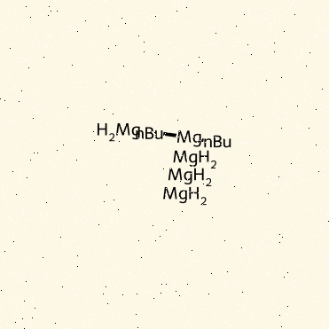 CCC[CH2][Mg][CH2]CCC.[MgH2].[MgH2].[MgH2].[MgH2]